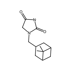 CC1(C)C2CC(CN3CC(=O)[N]C3=O)CC1C2